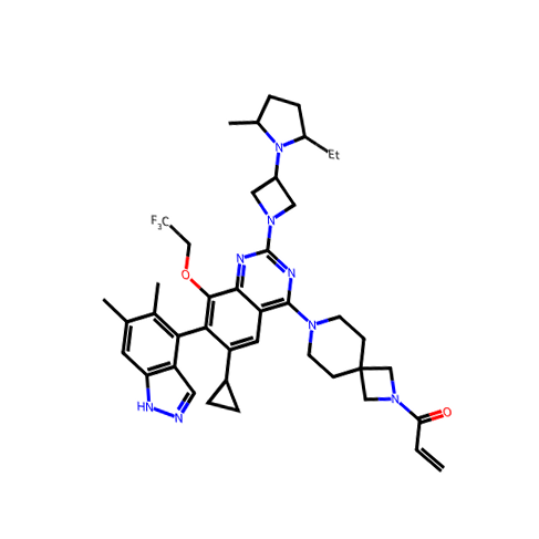 C=CC(=O)N1CC2(CCN(c3nc(N4CC(N5C(C)CCC5CC)C4)nc4c(OCC(F)(F)F)c(-c5c(C)c(C)cc6[nH]ncc56)c(C5CC5)cc34)CC2)C1